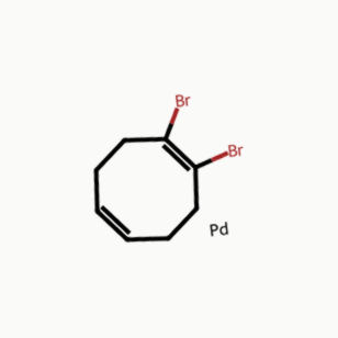 BrC1=C(Br)CCC=CCC1.[Pd]